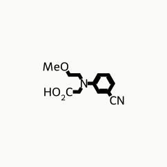 COCCN(CC(=O)O)c1cccc(C#N)c1